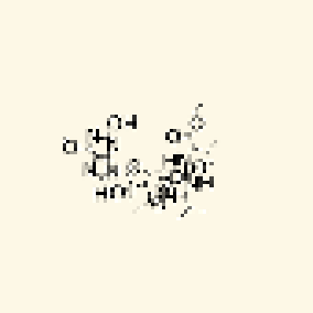 CCOC(=O)[C@@H](NP(=O)(N[C@H](C(=O)OCC)C(C)C)OC[C@H]1O[C@@H](n2cnc3c(OC)nc(O)nc32)C(C)(O)C1O)C(C)C